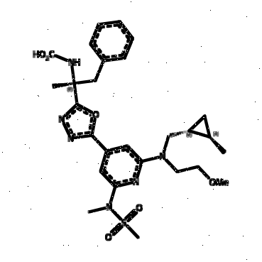 COCCN(C[C@@H]1C[C@H]1C)c1cc(-c2nnc([C@@](C)(Cc3ccccc3)NC(=O)O)o2)cc(N(C)S(C)(=O)=O)n1